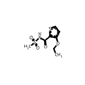 CCOc1ccsc1C(=O)NS(C)(=O)=O